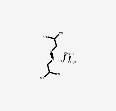 CCCC(C#N)CN=NCC(C#N)CCC.O=C(O)O.O=C(O)O